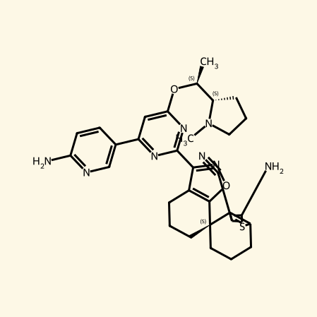 C[C@H](Oc1cc(-c2ccc(N)nc2)nc(-c2noc3c2CCC[C@@]32CCCc3sc(N)c(C#N)c32)n1)[C@@H]1CCCN1C